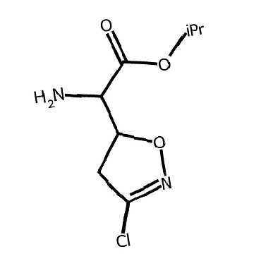 CC(C)OC(=O)C(N)C1CC(Cl)=NO1